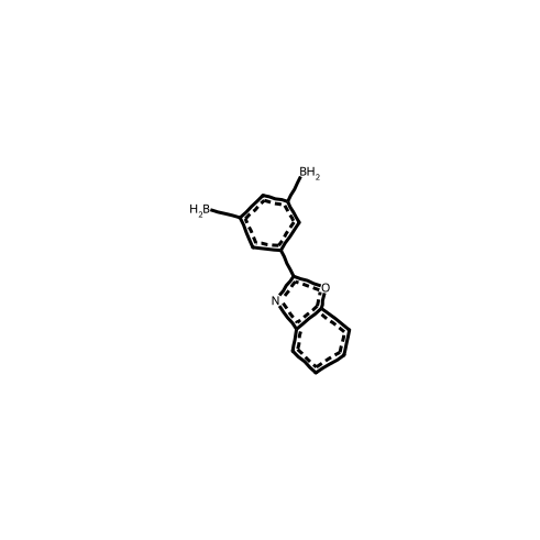 Bc1cc(B)cc(-c2nc3ccccc3o2)c1